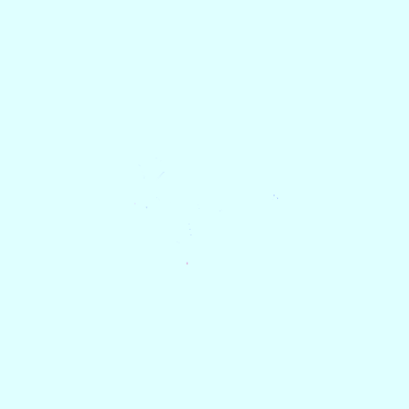 O=c1oc2cc(O)ccc2c(Cc2ccc(OCCN3CCCCCC3)cc2)c1-c1cc(C(F)(F)F)ccc1Cl